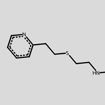 CNCCSCCc1ccccn1